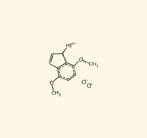 COc1ccc(OC)c2c1C=C[CH]2[Hf+2].[Cl-].[Cl-]